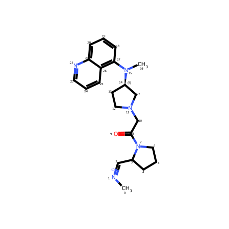 C/N=C\C1CCCN1C(=O)CN1CC[C@@H](N(C)c2cccc3ncccc23)C1